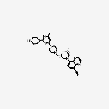 Cc1cc(N2CCN(C[C@H]3CN(c4ccc(C#N)c5nccnc45)C[C@@H](C)O3)CC2)nc(N2CCNCC2)n1